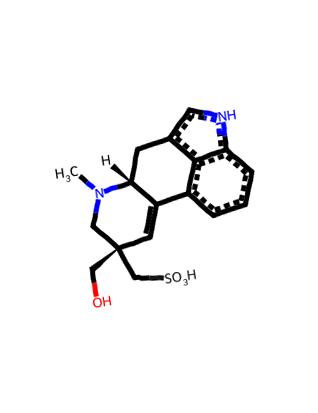 CN1C[C@@](CO)(CS(=O)(=O)O)C=C2c3cccc4[nH]cc(c34)C[C@H]21